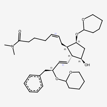 CN(C)C(=O)CCC/C=C\C[C@@H]1[C@@H](/C=C/[C@H](Cc2ccccc2)OC2CCCCO2)[C@H](O)C[C@@H]1OC1CCCCO1